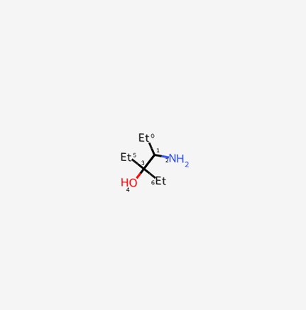 CCC(N)C(O)(CC)CC